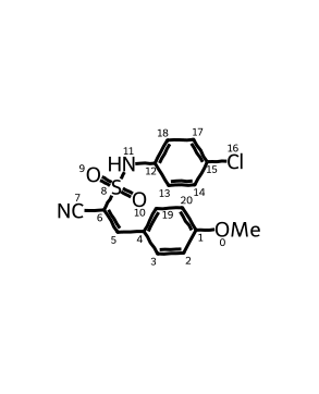 COc1ccc(C=C(C#N)S(=O)(=O)Nc2ccc(Cl)cc2)cc1